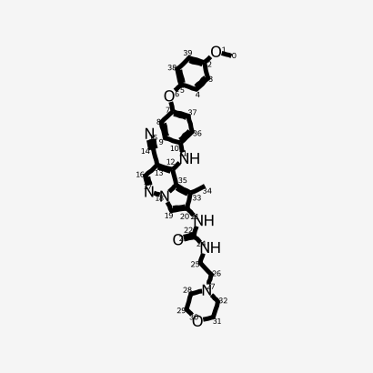 COc1ccc(Oc2ccc(Nc3c(C#N)cnn4cc(NC(=O)NCCN5CCOCC5)c(C)c34)cc2)cc1